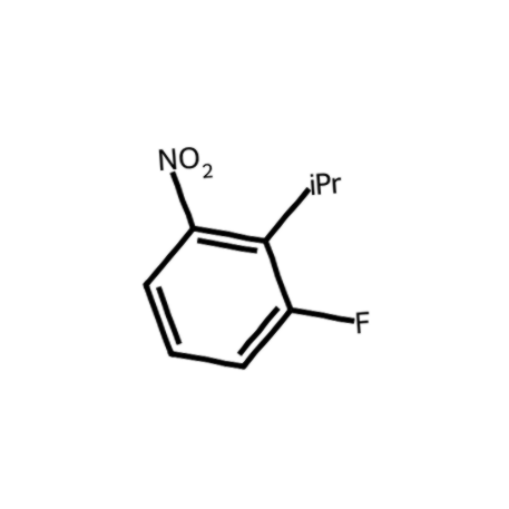 CC(C)c1c(F)cccc1[N+](=O)[O-]